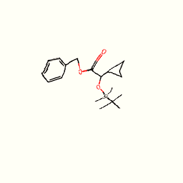 CC(C)(C)[Si](C)(C)OC(C(=O)OCc1ccccc1)C1CC1